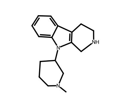 CN1CCCC(n2c3c(c4ccccc42)CCNC3)C1